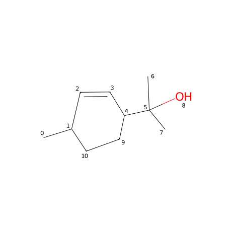 CC1C=CC(C(C)(C)O)CC1